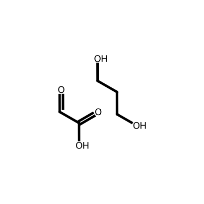 O=CC(=O)O.OCCCO